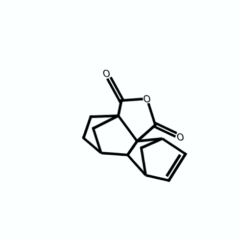 O=C1OC(=O)C23C4C=CC(C4)C2C2CCC13C2